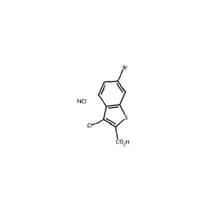 Cl.O=C(O)c1sc2cc(Br)ccc2c1Cl